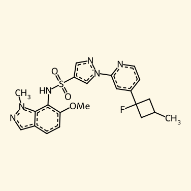 COc1ccc2cnn(C)c2c1NS(=O)(=O)c1cnn(-c2cc(C3(F)CC(C)C3)ccn2)c1